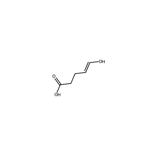 O=C(O)CCC=CO